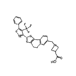 O=C(O)C1CN(Cc2ccc3c(c2)CCc2nc(-c4noc(-c5ccccc5)c4C(F)(F)F)sc2-3)C1